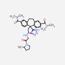 CN(C)C(=O)c1ccc2c(c1)CCc1cc(C(=O)N(C)C)ccc1C2(C[C@@H](I)NCC(=O)N1CCCC1C#N)c1nnn[nH]1